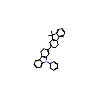 CC1(C)C2=C(CCC(C3=Cc4c(c5ccccc5n4-c4ccccc4)CC3)=C2)c2ccccc21